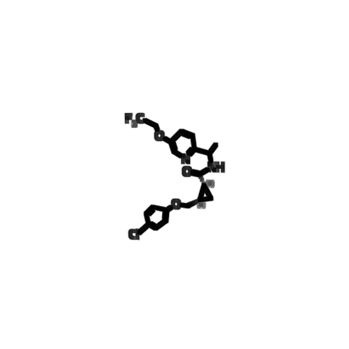 CC(NC(=O)[C@@H]1C[C@H]1COc1ccc(Cl)cc1)c1ccc(OCC(F)(F)F)cn1